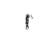 CS(=O)(=O)OC1CCN(c2ccc(N3CCc4cc(-c5ccc(Cl)cc5)sc4C3=O)cn2)C1